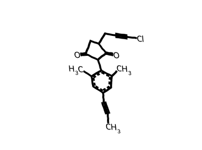 CC#Cc1cc(C)c(C2C(=O)CC(CC#CCl)C2=O)c(C)c1